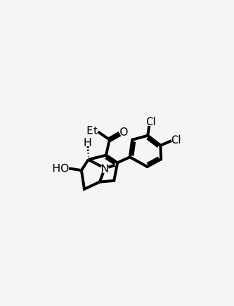 CCC(=O)C1=C(c2ccc(Cl)c(Cl)c2)CC2CC(O)[C@@H]1N2C